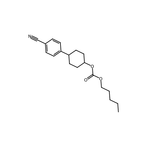 CCCCCOC(=O)OC1CCC(c2ccc(C#N)cc2)CC1